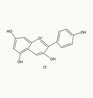 Oc1ccc(-c2[o+]c3cc(O)cc(O)c3cc2O)cc1.[Cl-]